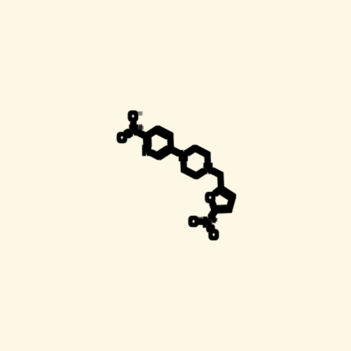 O=[N+]([O-])c1ccc(N2CCN(Cc3ccc([N+](=O)[O-])o3)CC2)cn1